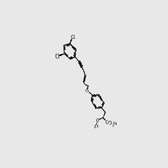 CCOC(Cc1ccc(OCC=CC#Cc2cc(Cl)cc(Cl)c2)cc1)C(=O)O